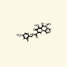 Cc1ccc(CNC(=O)c2cn3c(c(O)c2=O)C(=O)N(C(C)C)C2COCC23)c(F)c1